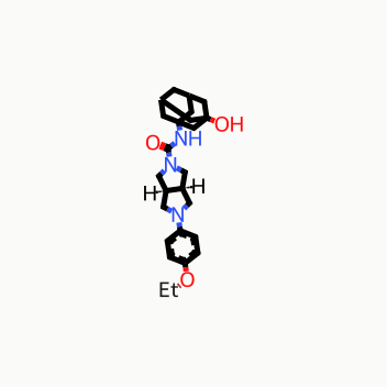 CCOc1ccc(N2C[C@H]3CN(C(=O)NC45CC6CC(CC(O)(C6)C4)C5)C[C@H]3C2)cc1